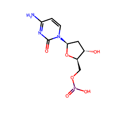 Nc1ccn([C@H]2C[C@H](O)[C@@H](CO[P](=O)O)O2)c(=O)n1